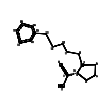 O=C(O)[C@H]1CCCN1CCCCCc1ccccc1